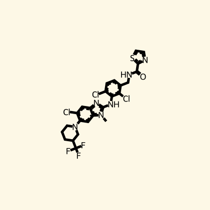 Cn1c(Nc2c(Cl)ccc(CNC(=O)c3nccs3)c2Cl)nc2cc(Cl)c(N3CCCC(C(F)(F)F)C3)cc21